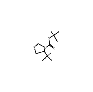 CC(C)(C)OC(=O)N1CSCC1C(C)(C)C